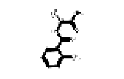 Cc1ccccc1C(=O)N[C@@H](C)C(N)=O